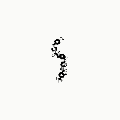 Br.COc1ccc(CN2CCN(C(=O)c3cc4cc(Oc5ccc(N(C)C(=O)c6ccc(C(F)(F)F)cc6C)cn5)ccc4n3C)CC2)cc1